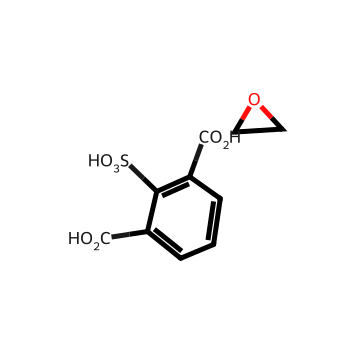 C1CO1.O=C(O)c1cccc(C(=O)O)c1S(=O)(=O)O